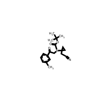 Cc1cccc(C(=O)CN(C(=O)OC(C)(C)C)C2(CC#N)CC2)c1